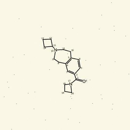 O=C(c1ccc2c(c1)CCN(C1CCC1)CC2)N1CCC1